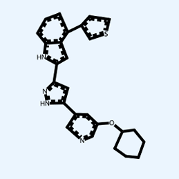 c1cc(-c2ccsc2)c2cc(-c3cc(-c4cncc(OC5CCCCC5)c4)[nH]n3)[nH]c2c1